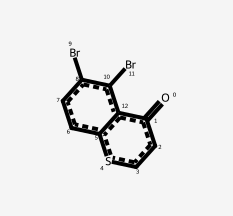 O=c1ccsc2ccc(Br)c(Br)c12